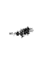 CN(C)c1cc(-c2ccc(C(=O)O)cc2)c(O)c2c1C[C@H]1C[C@@]3(C)[C@@H](N(C)C)C(O)=C(C(N)=O)C(=O)[C@@]3(O)C(O)=C1C2=O